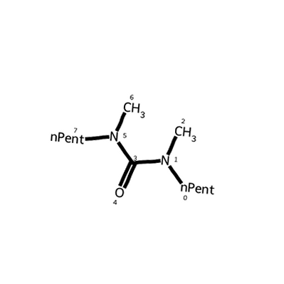 CCCCCN(C)C(=O)N(C)CCCCC